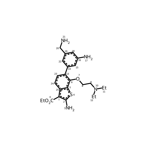 CCOC(=O)c1c(N)sc2c(OCCN(CC)CC)c(-c3cc(N)cc(CN)c3)ccc12